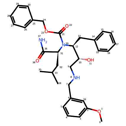 COc1cccc(CNC[C@@H](O)[C@H](Cc2ccccc2)N(C(=O)OCc2ccccc2)[C@@H](CC(C)C)C(N)=O)c1